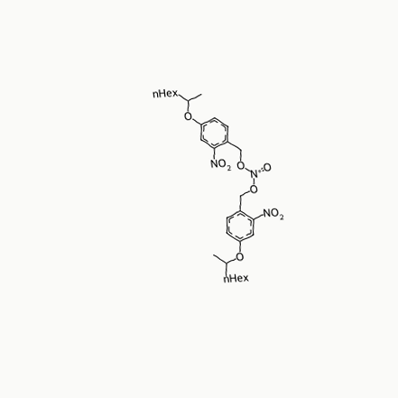 CCCCCCC(C)Oc1ccc(CO[N+](=O)OCc2ccc(OC(C)CCCCCC)cc2[N+](=O)[O-])c([N+](=O)[O-])c1